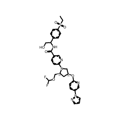 CCS(=O)(=O)c1ccc(C(CO)NC(=O)c2ccc(N3C[C@@H](Oc4ccc(-n5cccn5)cn4)C[C@H]3COC(F)F)nc2)cc1